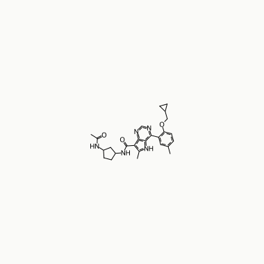 CC(=O)NC1CCC(NC(=O)c2c(C)[nH]c3c(-c4cc(C)ccc4OCC4CC4)ncnc23)C1